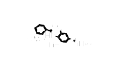 CCCCCCOc1ccc(PC(=O)c2ccccc2OC)c(Cl)c1.[LiH]